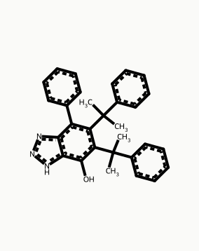 CC(C)(c1ccccc1)c1c(C(C)(C)c2ccccc2)c(O)c2[nH]nnc2c1-c1ccccc1